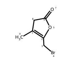 CC1=C(CBr)OC(=O)C1